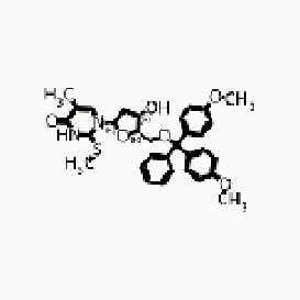 COc1ccc(C(OC[C@H]2O[C@@H](N3C=C(C)C(=O)NC3SC)C[C@H]2O)(c2ccccc2)c2ccc(OC)cc2)cc1